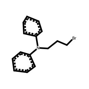 BrCCCN(c1ccccc1)c1ccccc1